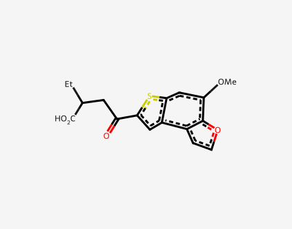 CCC(CC(=O)c1cc2c(cc(OC)c3occc32)s1)C(=O)O